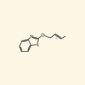 C/C=C/COc1nc2ccccc2s1